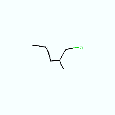 C[CH]CC(C)CCl